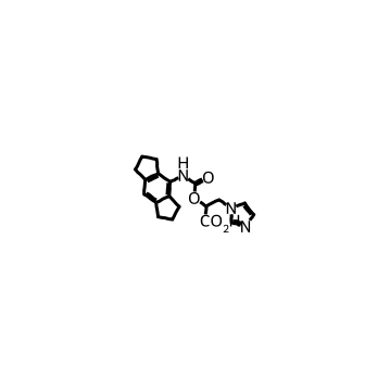 O=C(Nc1c2c(cc3c1CCC3)CCC2)OC(Cn1ccnc1)C(=O)O